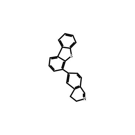 C1=NCCc2cc(-c3cccc4c3sc3ccccc34)ccc21